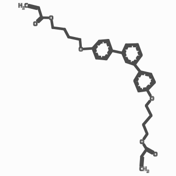 C=CC(=O)OCCCCOc1ccc(-c2cccc(-c3ccc(OCCCCOC(=O)C=C)cc3)c2)cc1